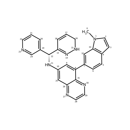 Cn1ccc2ccc(-c3cc(N[C@@H](C4=NNCC=C4)c4cccnc4)cc4nccnc34)cc21